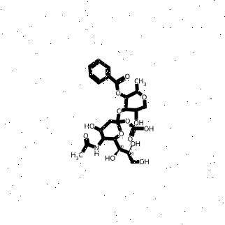 CC(=O)NC1C(O)CC(OC(=O)O)(OC2C(O)COC(C)C2OC(=O)c2ccccc2)OC1[C@H](O)[C@H](O)CO